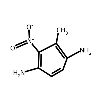 Cc1c(N)ccc(N)c1[N+](=O)[O-]